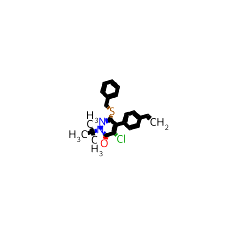 C=Cc1ccc(-c2c(SCc3ccccc3)nn(C(C)(C)C)c(=O)c2Cl)cc1